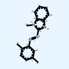 Cc1ccc(C)c(/N=N/c2nc3ccccc3n2C)c1